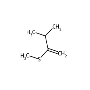 C=C(SC)C(C)C